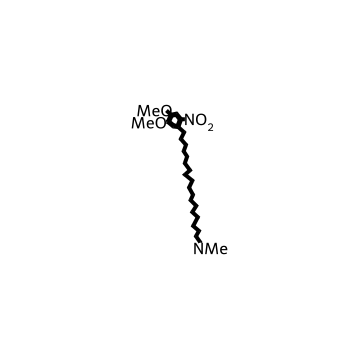 CNCCCCCCCCCCCCCCCCCCCc1cc(OC)c(OC)cc1[N+](=O)[O-]